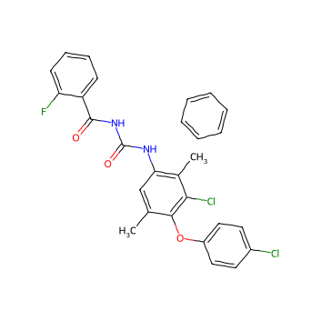 Cc1cc(NC(=O)NC(=O)c2ccccc2F)c(C)c(Cl)c1Oc1ccc(Cl)cc1.c1ccccc1